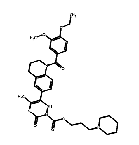 CCOc1ccc(C(=O)N2CCCc3cc(C4=C(C)SC(=O)N(C(=O)OCCCN5CCCCC5)N4)ccc32)cc1OC